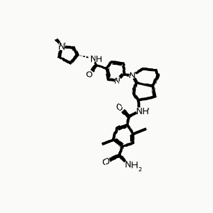 Cc1cc(C(=O)NC2CC3CCCN(c4ccc(C(=O)N[C@@H]5CCN(C)C5)cn4)C3C2)c(C)cc1C(N)=O